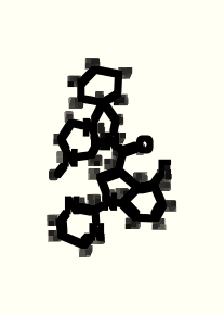 CN1CCN(C2(CNC(=O)c3cn(-c4ncccn4)c4cccc(F)c34)CCCCC2)CC1